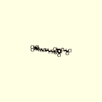 ClC(Cl)=CCOc1cc(Cl)c(OCCCCCCOCC=NOCC(Cl)(Cl)Cl)c(Cl)c1